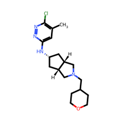 Cc1cc(N[C@@H]2C[C@@H]3CN(CC4CCOCC4)C[C@@H]3C2)nnc1Cl